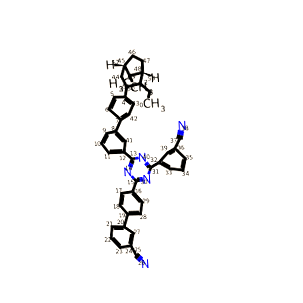 CCC1C(c2ccc(-c3cccc(-c4nc(-c5ccc(-c6cccc(C#N)c6)cc5)nc(-c5cccc(C#N)c5)n4)c3)cc2)C[C@@H]2CC[C@H]1C2(C)C